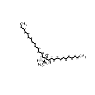 CCCCCCCCCCCCCC[N+]([O-])(CCCCCCCCCCCC)C(C)(O)O